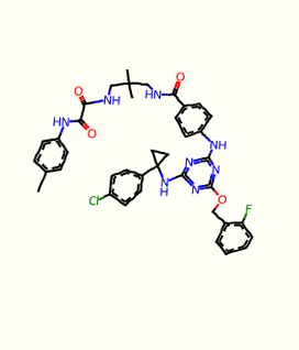 Cc1ccc(NC(=O)C(=O)NCC(C)(C)CNC(=O)c2ccc(Nc3nc(NC4(c5ccc(Cl)cc5)CC4)nc(OCc4ccccc4F)n3)cc2)cc1